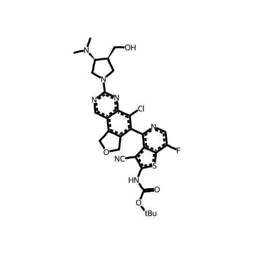 CN(C)[C@@H]1CN(c2ncc3c4c(c(-c5ncc(F)c6sc(NC(=O)OC(C)(C)C)c(C#N)c56)c(Cl)c3n2)COC4)C[C@@H]1CO